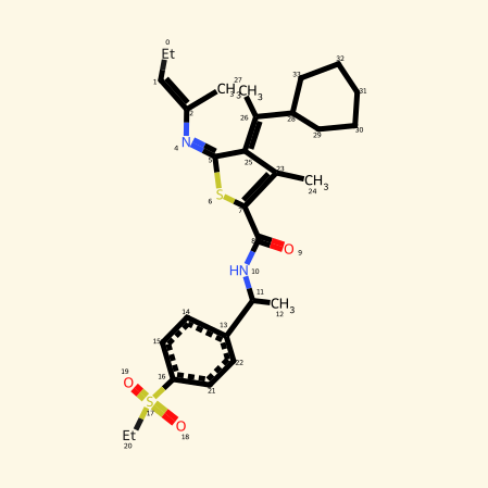 CC/C=C(C)/N=C1/SC(C(=O)NC(C)c2ccc(S(=O)(=O)CC)cc2)=C(C)/C1=C(/C)C1CCCCC1